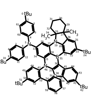 CC(C)(C)c1ccc(N(c2ccc(C(C)(C)C)cc2)c2cc3c4c(c2)N2c5c(cc(C(C)(C)C)cc5C5(C)CCCCC25C)B4c2c(oc4cc(C(C)(C)C)ccc24)N3c2ccc(C(C)(C)C)cc2-c2ccccc2)cc1